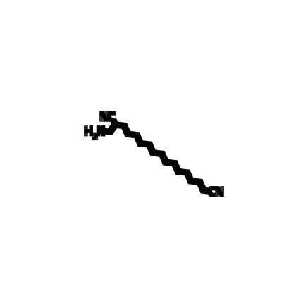 N#CCCCCCCCCCCCCCCC(C#N)CN